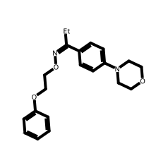 CCC(=NOCCOc1c[c]ccc1)c1ccc(N2CCOCC2)cc1